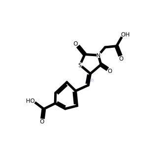 O=C(O)CN1C(=O)S/C(=C\c2ccc(C(=O)O)cc2)C1=O